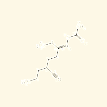 CCCC(C#N)CC/C(CC)=N/OC(C)=O